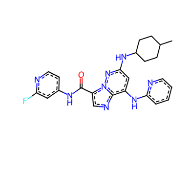 CC1CCC(Nc2cc(Nc3ccccn3)c3ncc(C(=O)Nc4ccnc(F)c4)n3n2)CC1